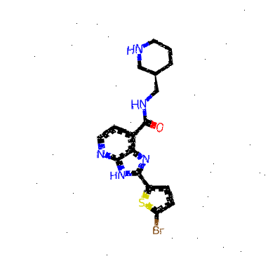 O=C(NC[C@@H]1CCCNC1)c1ccnc2[nH]c(-c3ccc(Br)s3)nc12